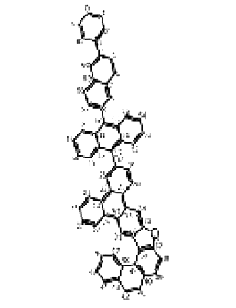 c1ccc(-c2ccc3cc(-c4c5ccccc5c(-c5ccc6c(c5)c5ccccc5c5cc7c(cc65)oc5ccc6ccc8ccccc8c6c57)c5ccccc45)ccc3c2)cc1